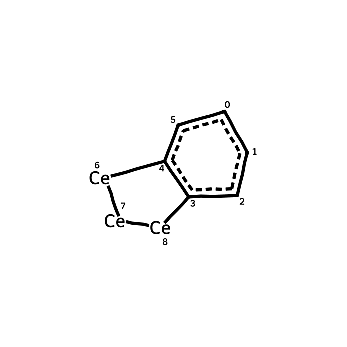 c1cc[c]2[c](c1)[Ce][Ce][Ce]2